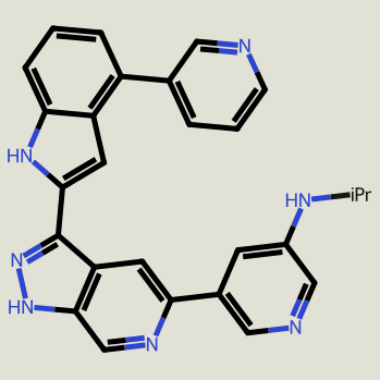 CC(C)Nc1cncc(-c2cc3c(-c4cc5c(-c6cccnc6)cccc5[nH]4)n[nH]c3cn2)c1